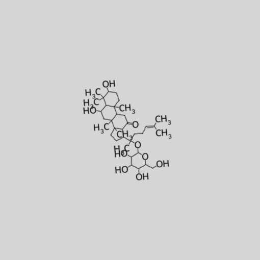 CC(C)=CCCC(C)(OC1OC(CO)C(O)C(O)C1O)C1CCC2(C)C1C(=O)CC1C3(C)CCC(O)C(C)(C)C3C(O)CC12C